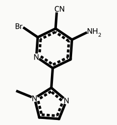 Cn1ccnc1-c1cc(N)c(C#N)c(Br)n1